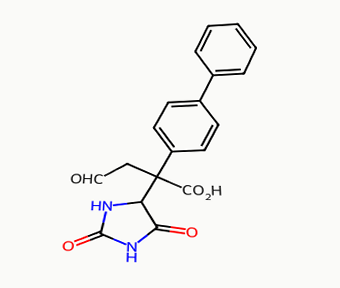 O=CCC(C(=O)O)(c1ccc(-c2ccccc2)cc1)C1NC(=O)NC1=O